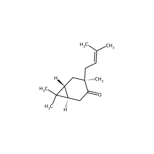 CC(C)=CC[C@]1(C)C[C@@H]2[C@@H](CC1=O)C2(C)C